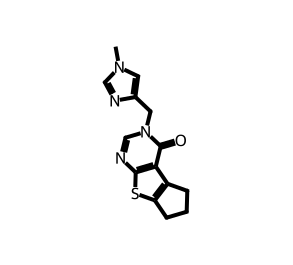 Cn1cnc(Cn2cnc3sc4c(c3c2=O)CCC4)c1